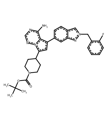 CC(C)(C)OC(=O)N1CCC(c2cc(-c3ccc4cn(Cc5ccccc5F)nc4c3)c3c(N)ncnn23)CC1